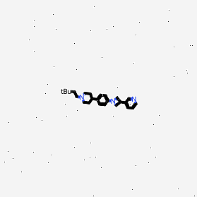 CC(C)(C)CCN1CCC(c2ccc(N3CC(c4cccnc4)C3)cc2)CC1